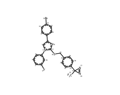 Fc1cccc(-n2cc(-c3ccc(Br)cc3)nc2SCc2ccc(C3(C(F)(F)F)N=N3)cc2)c1